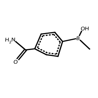 CB(O)c1ccc(C(N)=O)cc1